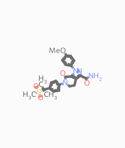 COc1ccc(-n2nc(C(N)=O)c3c2C(=O)N(c2ccc(C(C)(C)S(C)(=O)=O)cc2)CC3)cc1